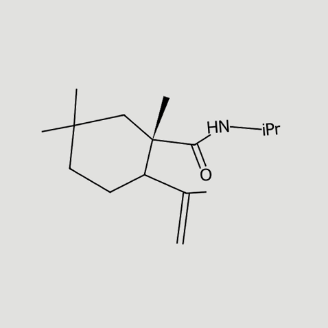 C=C(C)C1CCC(C)(C)C[C@]1(C)C(=O)NC(C)C